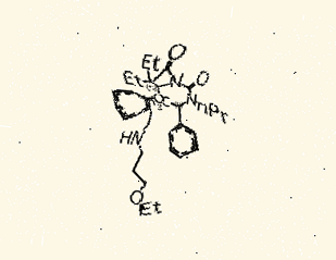 CCCN(C(=O)N1C(=O)C(CC)(CC)[C@@H]1Oc1ccccc1CNCCCOCC)[C@H](C)c1ccccc1